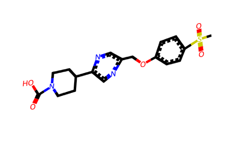 CS(=O)(=O)c1ccc(OCc2cnc(C3CCN(C(=O)O)CC3)cn2)cc1